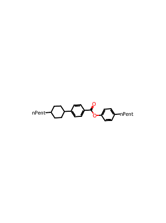 CCCCCc1ccc(OC(=O)c2ccc(C3CCC(CCCCC)CC3)cc2)cc1